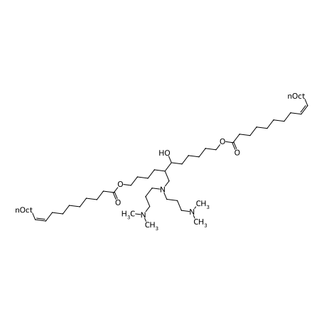 CCCCCCCC/C=C\CCCCCCCC(=O)OCCCCCC(O)C(CCCCOC(=O)CCCCCCC/C=C\CCCCCCCC)CN(CCCN(C)C)CCCN(C)C